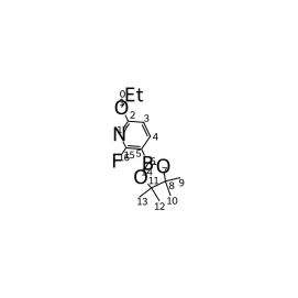 CCOc1ccc(B2OC(C)(C)C(C)(C)O2)c(F)n1